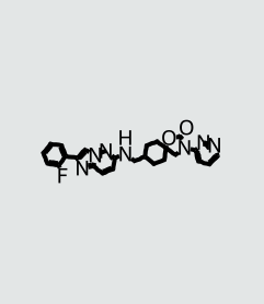 O=C1OC2(CCC(CNc3ccc4nc(-c5ccccc5F)cn4n3)CC2)CN1c1cccnn1